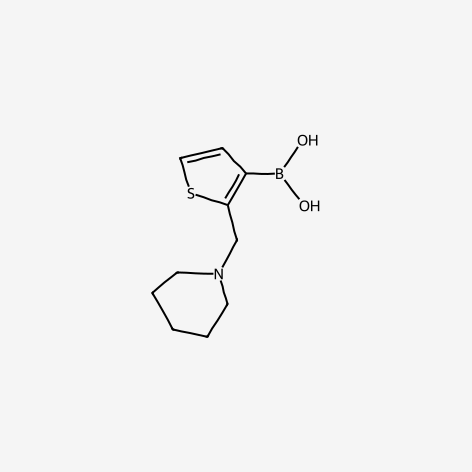 OB(O)c1ccsc1CN1CCCCC1